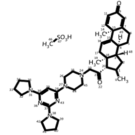 CC1C[C@H]2[C@@H]3CCC4=CC(=O)C=C[C@]4(C)C3=CC[C@]2(C)[C@H]1C(=O)CN1CCN(c2cc(N3CCCC3)nc(N3CCCC3)n2)CC1.CS(=O)(=O)O